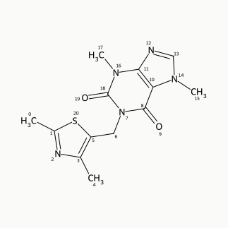 Cc1nc(C)c(Cn2c(=O)c3c(ncn3C)n(C)c2=O)s1